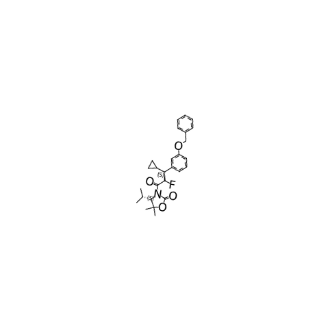 CC(C)[C@@H]1N(C(=O)C(F)[C@H](c2cccc(OCc3ccccc3)c2)C2CC2)C(=O)OC1(C)C